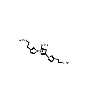 CCCCCCCCCCCCC1=C[SH](C2=C[SH]([SH]3C=CC(CCCCCCCCCCCC)=C3)C(CCCCCC)=C2)C=C1